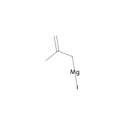 C=C(C)[CH2][Mg][I]